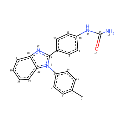 Cc1ccc(-n2c(-c3ccc(NC(N)=O)cc3)nc3ccccc32)cc1